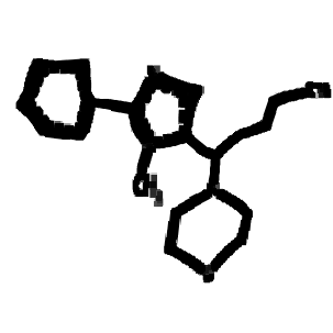 Cn1c(C(CCC#N)N2CCOCC2)cnc1-c1ccccc1